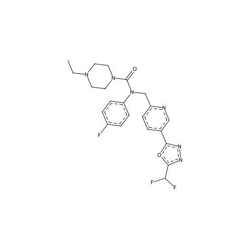 CCN1CCN(C(=O)N(Cc2ccc(-c3nnc(C(F)F)o3)cn2)c2ccc(F)cc2)CC1